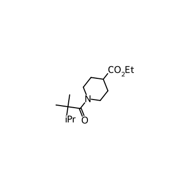 CCOC(=O)C1CCN(C(=O)C(C)(C)C(C)C)CC1